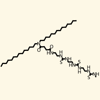 CCCCCCCCCCCCCCN(CCCCCCCCCCCCCC)C(=O)CCC(=O)NCCNC(=S)NCCNC(=S)NCCNC(=S)NC